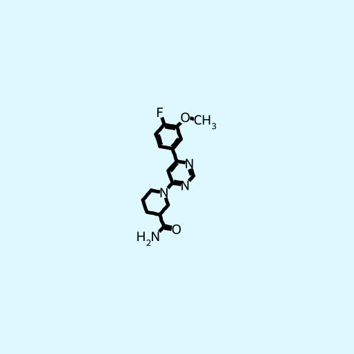 COc1cc(-c2cc(N3CCCC(C(N)=O)C3)ncn2)ccc1F